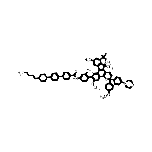 CCCCCC1CCC(c2ccc(-c3ccc(C(=O)Nc4ccc(-c5cc6c7c(c8c(c6cc5OC)OC(c5ccc(OC)cc5)(c5ccc(N6CCOCC6)cc5)C=C8)C(C)(C)c5c-7cc(C)cc5C(F)(F)F)c(C)c4)cc3)cc2)CC1